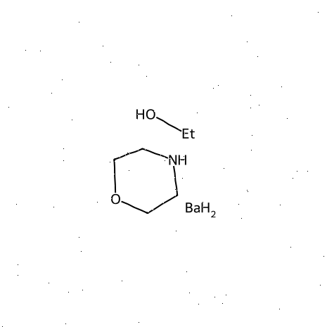 C1COCCN1.CCO.[BaH2]